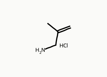 C=C(C)CN.Cl